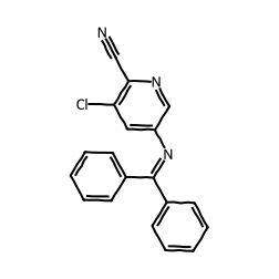 N#Cc1ncc(N=C(c2ccccc2)c2ccccc2)cc1Cl